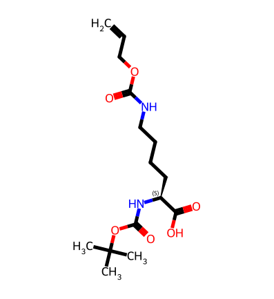 C=CCOC(=O)NCCCC[C@H](NC(=O)OC(C)(C)C)C(=O)O